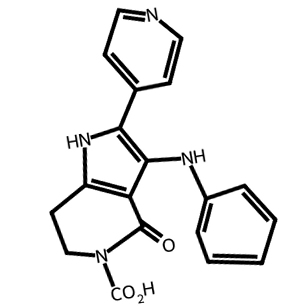 O=C(O)N1CCc2[nH]c(-c3ccncc3)c(Nc3ccccc3)c2C1=O